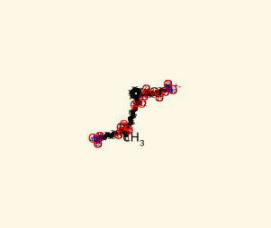 CC(OC(=O)CCCCCOC(=O)c1ccccc1OC(=O)COC(=O)CO[N+](=O)[O-])C(=O)OCCCCO[N+](=O)[O-]